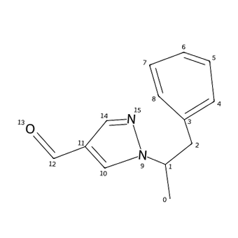 CC(Cc1ccccc1)n1cc(C=O)cn1